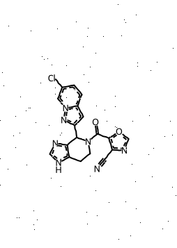 N#Cc1ncoc1C(=O)N1CCc2[nH]cnc2C1c1cc2ccc(Cl)cn2n1